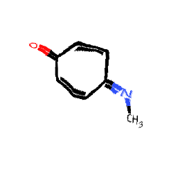 CN=C1C=CC(=O)C=C1